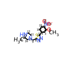 COc1cc(-c2nnc(CN3CCNC(C)C3)s2)ccc1[N+](=O)[O-]